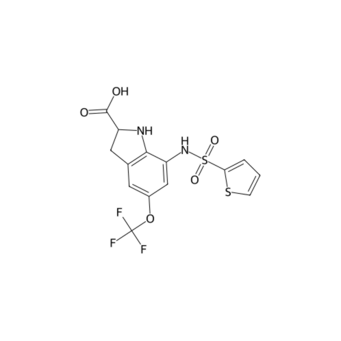 O=C(O)C1Cc2cc(OC(F)(F)F)cc(NS(=O)(=O)c3cccs3)c2N1